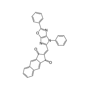 O=C1C(=Cc2nc3oc(-c4ccccc4)nc3n2-c2ccccc2)C(=O)c2cc3ccccc3cc21